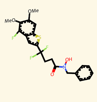 COc1cc2sc(C(F)(F)CCC(=O)N(O)Cc3ccccc3)cc2c(F)c1OC